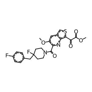 COC(=O)C(=O)c1scc2cc(OC)c(C(=O)N3CCC(F)(Cc4ccc(F)cc4)CC3)nc12